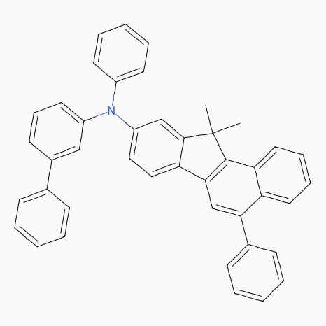 CC1(C)c2cc(N(c3ccccc3)c3cccc(-c4ccccc4)c3)ccc2-c2cc(-c3ccccc3)c3ccccc3c21